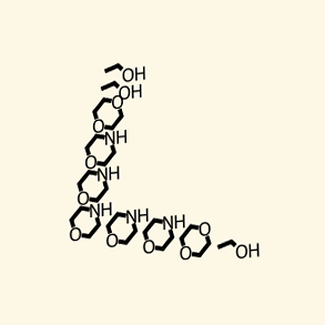 C1COCCN1.C1COCCN1.C1COCCN1.C1COCCN1.C1COCCN1.C1COCCO1.C1COCCO1.CCO.CCO.CCO